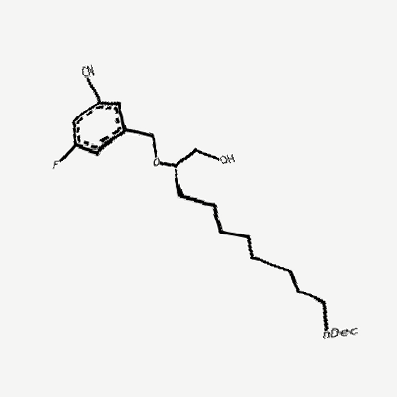 CCCCCCCCCCCCCCCCCC[C@H](CO)OCc1cc(F)cc(C#N)c1